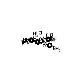 Cc1cc2[nH]c(C3CC3)nc2cc1-c1ccc(C[C@@H](C(N)=O)N(c2cc(F)c3c(=O)[nH][nH]c3c2)C(=O)[C@H]2CC[C@H](CN)CC2)cc1.Cl